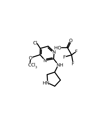 Clc1cnc(NC2CCNC2)nc1OC(Cl)(Cl)Cl.O=C(O)C(F)(F)F